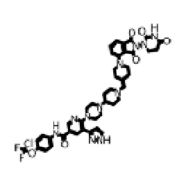 O=C1CCN(N2C(=O)c3cccc(N4CCC(CN5CCC(N6CCN(c7ncc(C(=O)Nc8ccc(OC(F)(F)Cl)cc8)cc7-c7cc[nH]n7)CC6)CC5)CC4)c3C2=O)C(=O)N1